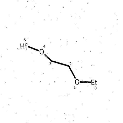 CCOCC[O][Hf]